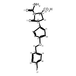 NC(=O)N1C(=O)[C@H](c2ccc(OCc3ccc(F)cc3)cc2)C[C@@H]1C(=O)O